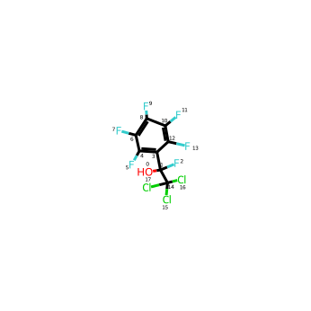 OC(F)(c1c(F)c(F)c(F)c(F)c1F)C(Cl)(Cl)Cl